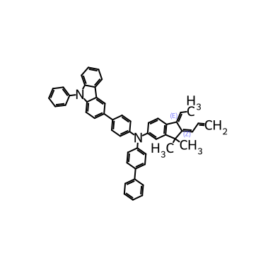 C=C/C=C1\C(=C/C)c2ccc(N(c3ccc(-c4ccccc4)cc3)c3ccc(-c4ccc5c(c4)c4ccccc4n5-c4ccccc4)cc3)cc2C1(C)C